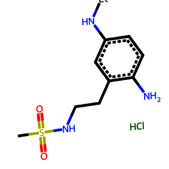 CCNc1ccc(N)c(CCNS(C)(=O)=O)c1.Cl